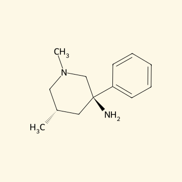 C[C@@H]1CN(C)C[C@](N)(c2ccccc2)C1